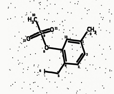 Cc1ccc(CI)c(OS(C)(=O)=O)c1